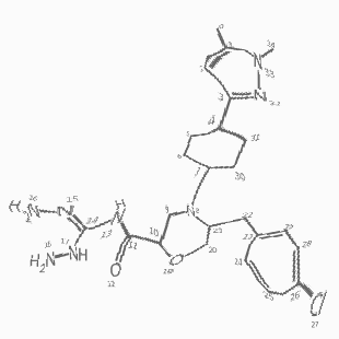 Cc1cc(C2CCC(N3CC(C(=O)N/C(=N/N)NN)OCC3Cc3ccc(Cl)cc3)CC2)nn1C